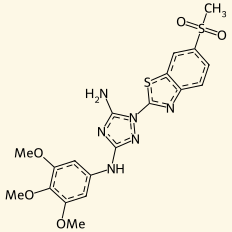 COc1cc(Nc2nc(N)n(-c3nc4ccc(S(C)(=O)=O)cc4s3)n2)cc(OC)c1OC